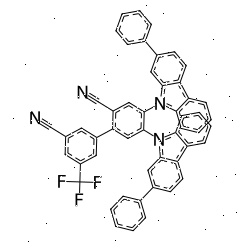 N#Cc1cc(-c2cc(-n3c4ccccc4c4ccc(-c5ccccc5)cc43)c(-n3c4ccccc4c4ccc(-c5ccccc5)cc43)cc2C#N)cc(C(F)(F)F)c1